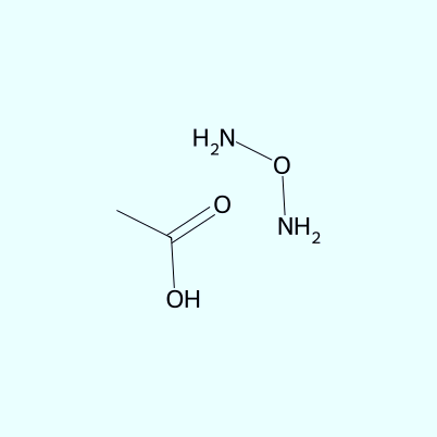 CC(=O)O.NON